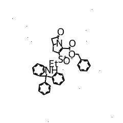 CC[S+]([O-])C1=C(C(=O)OCc2ccccc2)N2C(=O)CC2C1.c1ccc(C2(c3ccccc3)Nc3cccc2c3)cc1